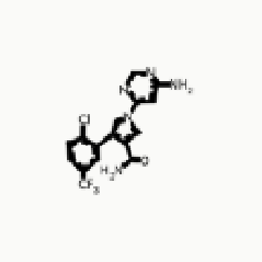 NC(=O)c1cn(-c2cc(N)ncn2)cc1-c1cc(C(F)(F)F)ccc1Cl